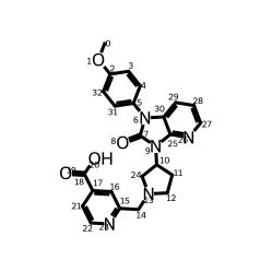 COc1ccc(-n2c(=O)n(C3CCN(Cc4cc(C(=O)O)ccn4)C3)c3ncccc32)cc1